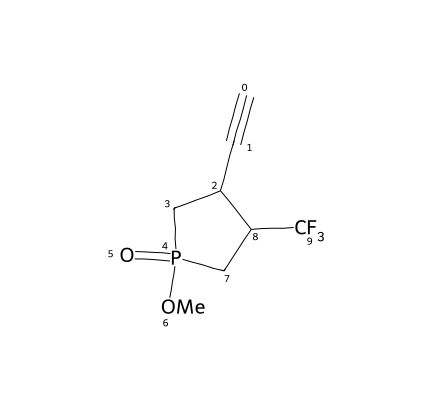 C#CC1CP(=O)(OC)CC1C(F)(F)F